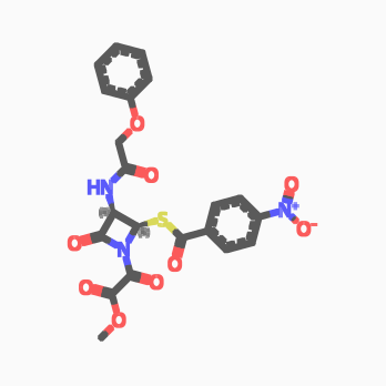 COC(=O)C(=O)N1C(=O)[C@@H](NC(=O)COc2ccccc2)[C@H]1SC(=O)c1ccc([N+](=O)[O-])cc1